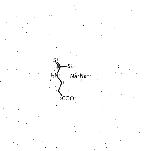 O=C([O-])CCNC(=S)[S-].[Na+].[Na+]